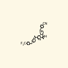 C=C(NC1CCN(Cc2ccc(C#N)cc2)CC1)c1ccc(C(=C)N2CCN(Cc3ccc(C(F)(F)F)cc3)CC2)cn1